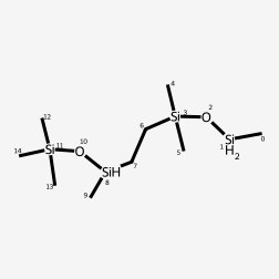 C[SiH2]O[Si](C)(C)CC[SiH](C)O[Si](C)(C)C